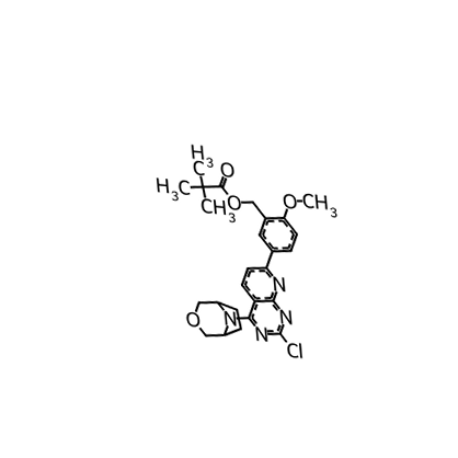 COc1ccc(-c2ccc3c(N4C5CCC4COC5)nc(Cl)nc3n2)cc1COC(=O)C(C)(C)C